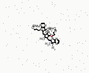 COOCCCN1/C(=C\C2=C(O)C(=C/C3=[N+](CCCOOC)c4nccnc4C3(C)C)/C(=O)C2=O)C(C)(C)c2nccnc21